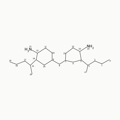 CCCC(C)C1CC(CC2CCC(N)C(C(C)CCC)C2)CCC1N